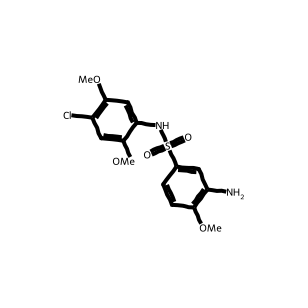 COc1ccc(S(=O)(=O)Nc2cc(OC)c(Cl)cc2OC)cc1N